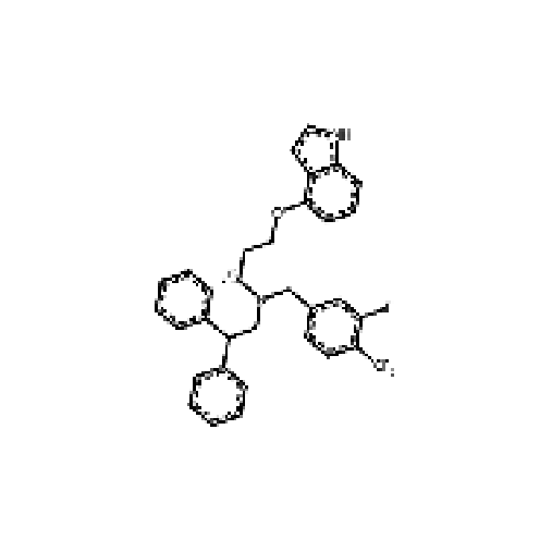 C[C@H](CCOc1cccc2[nH]ccc12)N(Cc1ccc(C(F)(F)F)c(F)c1)CC(c1ccccc1)c1ccccc1